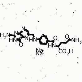 NC(=O)CC[C@H](NC(=O)c1ccc(NCc2cnc3nc(N)[nH]c(=O)c3n2)cc1)C(=O)O.[Na].[Na]